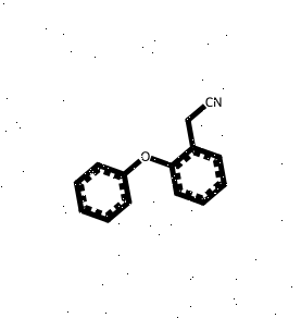 N#CCc1ccccc1Oc1ccccc1